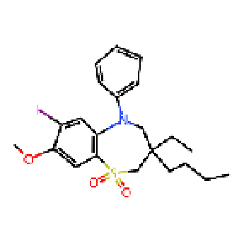 CCCCC1(CC)CN(c2ccccc2)c2cc(I)c(OC)cc2S(=O)(=O)C1